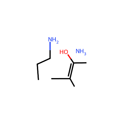 CC(C)=C(C)O.CCCN.N